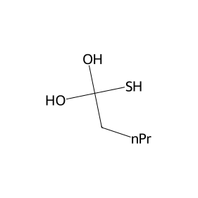 CCCCC(O)(O)S